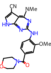 CNc1nc(Nc2ccc(C(=O)N3CCOCC3)cc2OC)nc2[nH]cc(C#N)c12